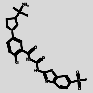 CC(C)(N)C1CCN(c2ccc(Cl)c(C(=O)NC(=O)Nc3nc4ccc(S(C)(=O)=O)cc4s3)c2)C1